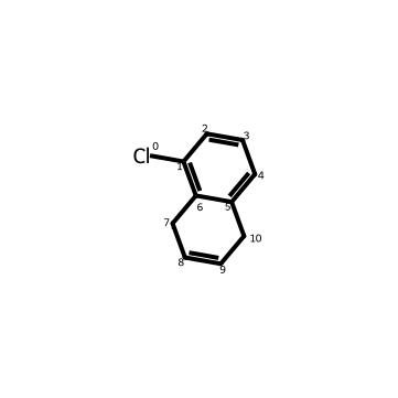 Clc1cccc2c1[CH]C=CC2